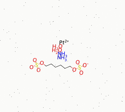 N.N.O.O.O=S(=O)([O-])OCCCCCCOS(=O)(=O)[O-].[Pt+2]